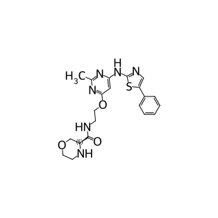 Cc1nc(Nc2ncc(-c3ccccc3)s2)cc(OCCNC(=O)[C@@H]2COCCN2)n1